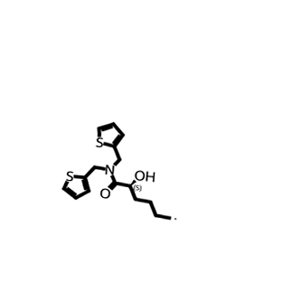 [CH2]CCC[C@H](O)C(=O)N(Cc1cccs1)Cc1cccs1